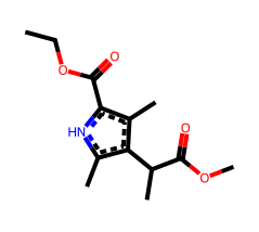 CCOC(=O)c1[nH]c(C)c(C(C)C(=O)OC)c1C